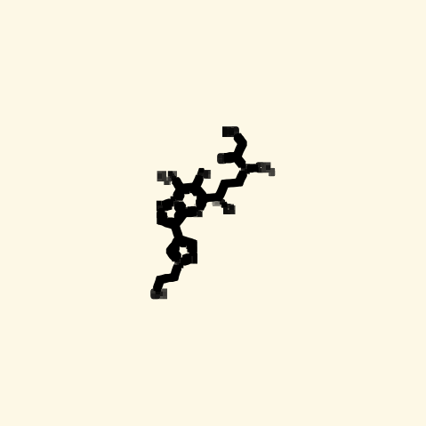 CC[C@@H](CCN(C)C(=O)CO)c1nc2c(-c3cnn(CCO)c3)cnn2c(N)c1C(C)=O